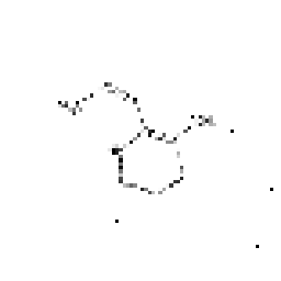 C/C=C\C1=C(C)CCCN1